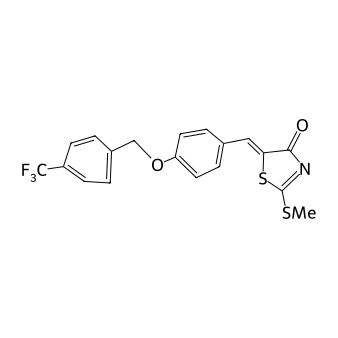 CSC1=NC(=O)C(=Cc2ccc(OCc3ccc(C(F)(F)F)cc3)cc2)S1